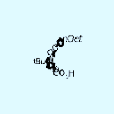 CCCCCCCCc1ccc(OCC(=O)Cn2cc(C(C)(C)C)c3ccc(OC(=O)O)cc32)cc1